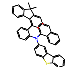 CC1(C)c2ccccc2-c2c(-c3ccccc3N(c3ccc4sc5ccccc5c4c3)c3cccc4ccccc34)cccc21